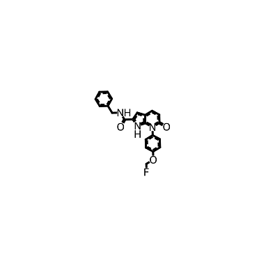 O=C(NCc1ccccc1)c1cc2ccc(=O)n(-c3ccc(OCF)cc3)c2[nH]1